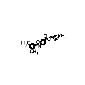 Cc1cc(C)cc(-c2nc3ccc(C(=O)OCc4cn(C)cn4)cc3o2)c1